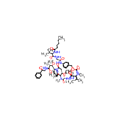 CCCCCC(=O)NC(C(=O)NCC(=O)Nc1ccc(COC(=O)N(C)C(C(=O)NCC(=O)N(C)C([C@@H](C)CC)[C@@H](CC(=O)N2CCC[C@H]2[C@H](OC)[C@@H](C)C(=O)NCC(=O)c2ccccc2)OC)C(C)C)cc1)C(C)C